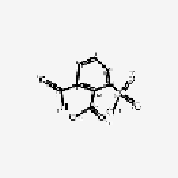 O=C(Cl)c1cccc(S(=O)(=O)Cl)c1C(=O)Cl